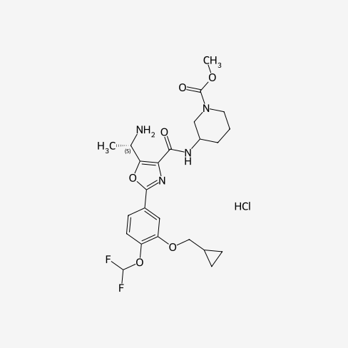 COC(=O)N1CCCC(NC(=O)c2nc(-c3ccc(OC(F)F)c(OCC4CC4)c3)oc2[C@H](C)N)C1.Cl